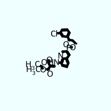 CC1(C)OC(=O)C(=CNc2cccc3cc(P4OCCC(c5cccc(Cl)c5)O4)cnc23)C(=O)O1